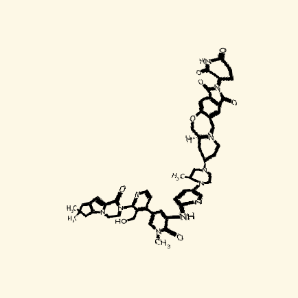 C[C@H]1CN([C@@H]2CCN3Cc4cc5c(cc4OC[C@@H]3C2)C(=O)N(C2CCC(=O)NC2=O)C5=O)CCN1c1ccc(Nc2cc(-c3ccnc(N4CCn5c(cc6c5CC(C)(C)C6)C4=O)c3CO)cn(C)c2=O)nc1